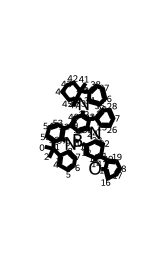 CC1(C)c2ccccc2N2B3c4cc5oc6ccccc6c5cc4-n4c5ccccc5c5c(N6c7ccccc7C7(C)CCCCC67C)cc(c3c54)-c3cccc1c32